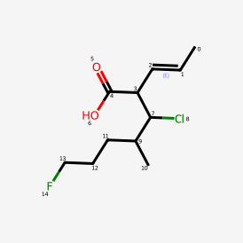 C/C=C/C(C(=O)O)C(Cl)C(C)CCCF